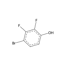 Oc1ccc(Br)c(F)c1F